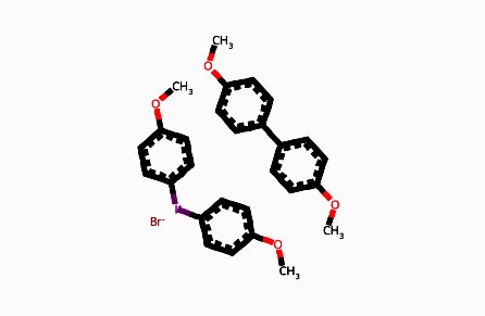 COc1ccc(-c2ccc(OC)cc2)cc1.COc1ccc([I+]c2ccc(OC)cc2)cc1.[Br-]